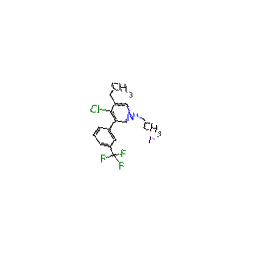 CCc1c[n+](CC)cc(-c2cccc(C(F)(F)F)c2)c1Cl.[I-]